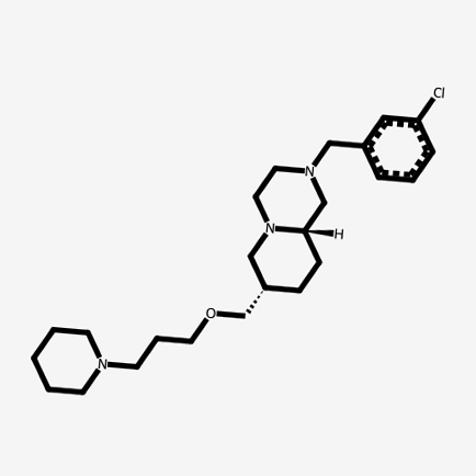 Clc1cccc(CN2CCN3C[C@@H](COCCCN4CCCCC4)CC[C@H]3C2)c1